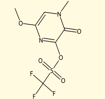 COc1cn(C)c(=O)c(OS(=O)(=O)C(F)(F)F)n1